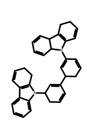 C1=CC2C3=C(C=CCC3)N(C3=CC(C4=CC(n5c6c(c7ccccc75)C=CCC6)CC=C4)CC=C3)C2C=C1